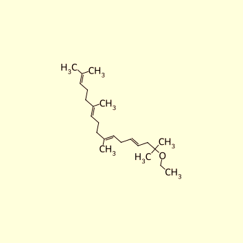 CCOC(C)(C)C/C=C/C/C=C(\C)CC/C=C(\C)CCC=C(C)C